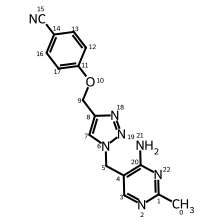 Cc1ncc(Cn2cc(COc3ccc(C#N)cc3)nn2)c(N)n1